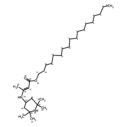 CCCCCCCCCCCCCCCCCCOC(=O)C=C(C)NC1CC(C)(C)NC(C)(C)C1